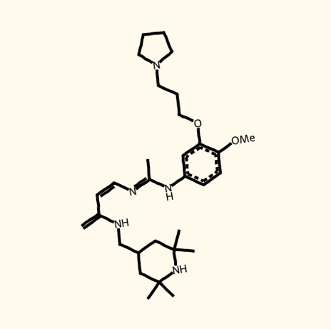 C=C(/C=C\N=C(/C)Nc1ccc(OC)c(OCCCN2CCCC2)c1)NCC1CC(C)(C)NC(C)(C)C1